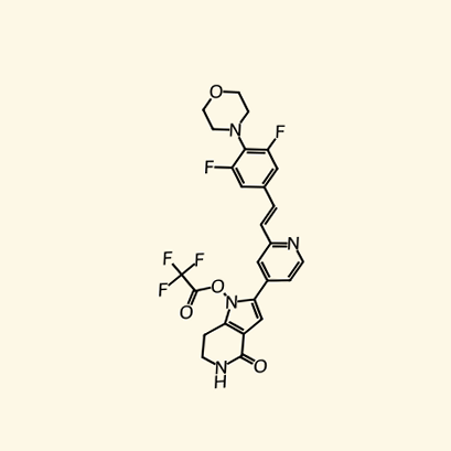 O=C1NCCc2c1cc(-c1ccnc(C=Cc3cc(F)c(N4CCOCC4)c(F)c3)c1)n2OC(=O)C(F)(F)F